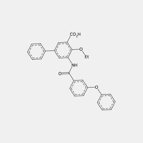 CCOc1c(NC(=O)c2cccc(Oc3ccccc3)c2)cc(-c2ccccc2)cc1C(=O)O